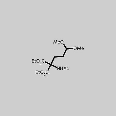 CCOC(=O)C(CCC(OC)OC)(NC(C)=O)C(=O)OCC